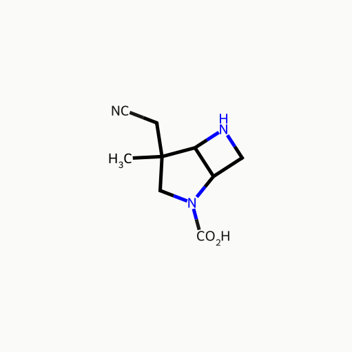 CC1(CC#N)CN(C(=O)O)C2CNC21